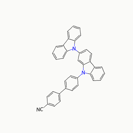 N#Cc1ccc(-c2ccc(-n3c4ccccc4c4ccc(-n5c6ccccc6c6ccccc65)cc43)cc2)cc1